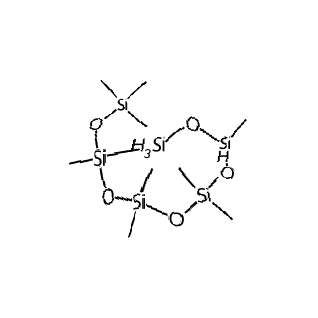 C[SiH](O[SiH3])O[Si](C)(C)O[Si](C)(C)O[Si](C)(C)O[Si](C)(C)C